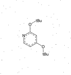 CC(C)(C)Oc1ccnc(OC(C)(C)C)c1